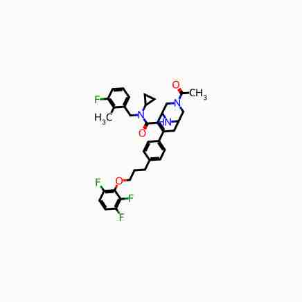 CC(=O)N1CC2CC(c3ccc(CCCOc4c(F)ccc(F)c4F)cc3)=C(C(=O)N(Cc3cccc(F)c3C)C3CC3)C(C1)N2